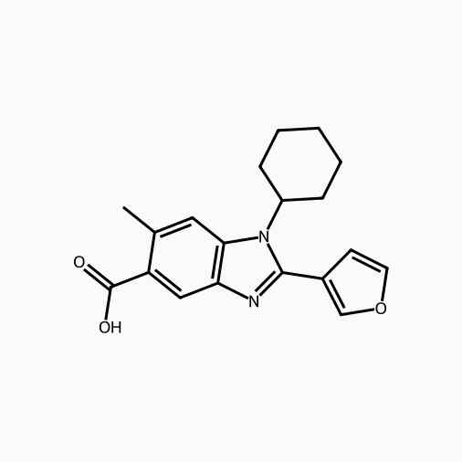 Cc1cc2c(cc1C(=O)O)nc(-c1ccoc1)n2C1CCCCC1